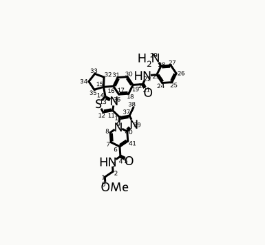 COCCNC(=O)c1ccn2c(-c3csc(C4(c5ccc(C(=O)Nc6ccccc6N)cc5)CCCC4)n3)c(C)nc2c1